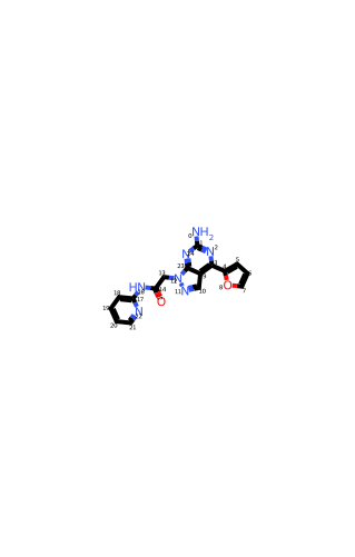 Nc1nc(-c2ccco2)c2cnn(CC(=O)Nc3ccccn3)c2n1